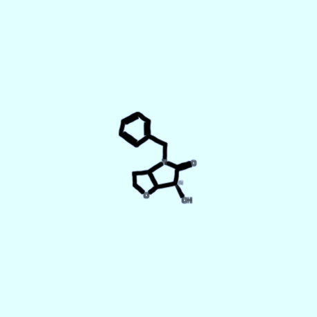 O=C1[C@@H](O)C2OCCC2N1Cc1ccccc1